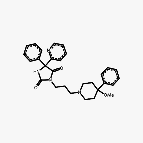 COC1(c2ccccc2)CCN(CCCN2C(=O)NC(c3ccccc3)(c3ccccn3)C2=O)CC1